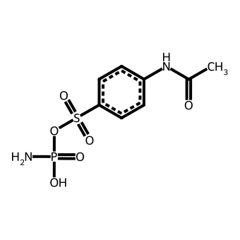 CC(=O)Nc1ccc(S(=O)(=O)OP(N)(=O)O)cc1